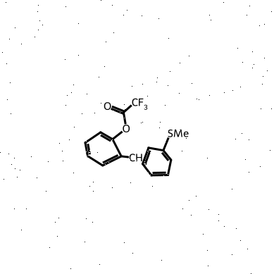 CSc1ccccc1.Cc1ccccc1OC(=O)C(F)(F)F